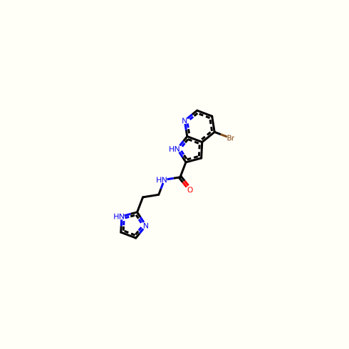 O=C(NCCc1ncc[nH]1)c1cc2c(Br)ccnc2[nH]1